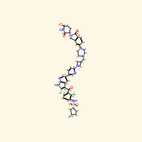 O=C1CCC(N2Cc3cc(N4CCN(CC5CN(c6ccc(-c7cnc8[nH]cc(C(=O)c9c(F)ccc(NS(=O)(=O)N%10CC[C@@H](F)C%10)c9F)c8c7)cn6)C5)CC4)ccc3C2=O)C(=O)N1